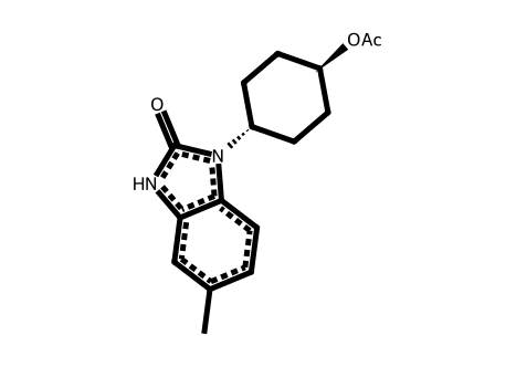 CC(=O)O[C@H]1CC[C@H](n2c(=O)[nH]c3cc(C)ccc32)CC1